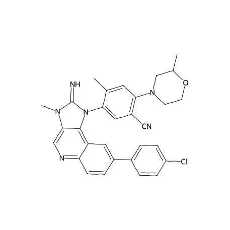 Cc1cc(N2CCOC(C)C2)c(C#N)cc1-n1c(=N)n(C)c2cnc3ccc(-c4ccc(Cl)cc4)cc3c21